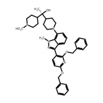 Cn1nc(-c2ccc(OCc3ccccc3)nc2OCc2ccccc2)c2cccc(N3CCC([C@](C)(O)C4CCN(C(=O)O)CC4)CC3)c21